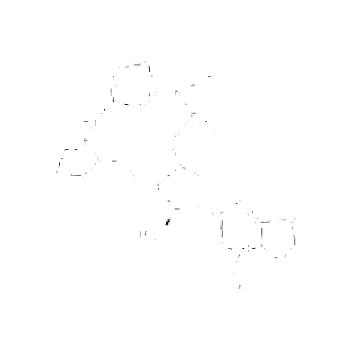 CCCCN(C(=O)CN1C[C@H](c2cc(OC)c3c(c2)OCO3)[C@@H](C(=O)O)[C@@H]1CCn1cccn1)c1ccc[n+](C)c1